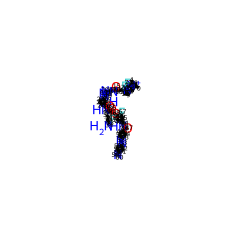 CC1=CC(C)=[N+]2C1=Cc1ccc(CCC(=O)NCc3cn(-c4cccc(C(=O)N[C@@H](CCCCN)C(=O)COc5c(F)cc(CNC(=O)c6ccc(/N=N/c7ccc(N(C)C)cc7)cc6)cc5F)c4)nn3)n1[B-]2(F)F